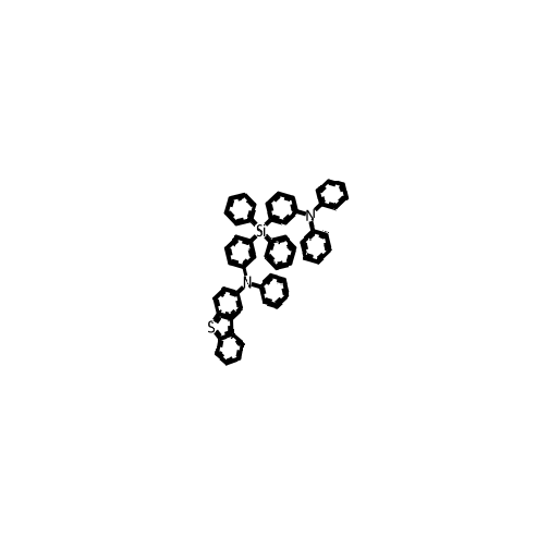 c1ccc(N(c2ccccc2)c2cccc([Si](c3ccccc3)(c3ccccc3)c3cccc(N(c4ccccc4)c4ccc5sc6ccccc6c5c4)c3)c2)cc1